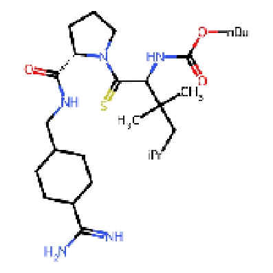 CCCCOC(=O)N[C@H](C(=S)N1CCC[C@H]1C(=O)NCC1CCC(C(=N)N)CC1)C(C)(C)CC(C)C